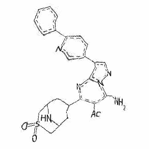 CC(=O)c1c(C2CC3CS(=O)(=O)CC(C2)N3)nc2c(-c3ccc(-c4ccccc4)nc3)cnn2c1N